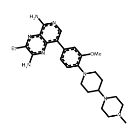 CCc1nc2c(N)ncc(-c3ccc(N4CCC(N5CCN(C)CC5)CC4)c(OC)c3)c2nc1N